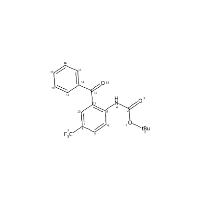 CC(C)(C)OC(=O)Nc1ccc(C(F)(F)F)cc1C(=O)c1ccccc1